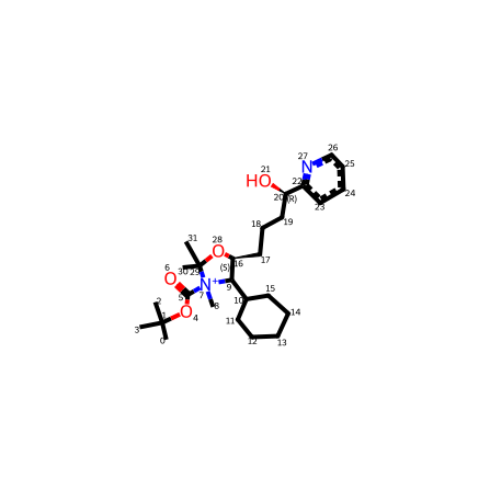 CC(C)(C)OC(=O)[N+]1(C)C(C2CCCCC2)[C@H](CCC[C@@H](O)c2ccccn2)OC1(C)C